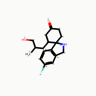 CC(CO)CC1CC(=O)CCC12NCc1cc(F)ccc12